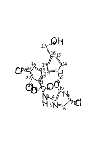 O=S(=O)(Nc1ncc(Cl)nc1OCc1ccc(CO)cc1)c1cccc(Cl)c1Cl